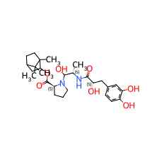 C[C@H](NC(=O)[C@@H](O)Cc1ccc(O)c(O)c1)C(O)N1CCC[C@H]1C(=O)OC1CC2CCC1(C)C2(C)C